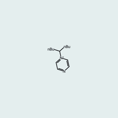 CCCCC(CCCC)[n+]1ccncc1